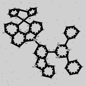 c1ccc(-c2nc(-c3ccccc3)nc(-c3cc(-n4c5cccc6c5c5c7c(cccc7ccc54)C64c5ccccc5-c5ccccc54)cc4sc5ccccc5c34)n2)cc1